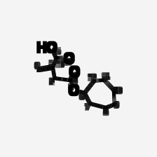 C=C(CC(=O)OC1CCCCCC1)C(=O)O